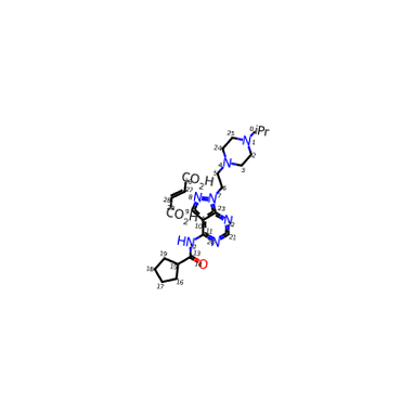 CC(C)N1CCN(CCn2ncc3c(NC(=O)C4CCCC4)ncnc32)CC1.O=C(O)C=CC(=O)O